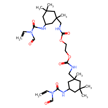 C=CN(C=O)C(=O)NC1CC(C)(C)CC(C)(CNC(=O)OCCOC(=O)NCC2(C)CC(NC(=O)N(C=C)C=O)CC(C)(C)C2)C1